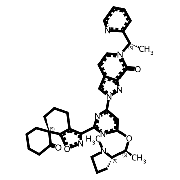 C[C@H](Oc1cc(-n2cc3ccn([C@@H](C)c4ccccn4)c(=O)c3n2)nc(-c2noc3c2CCC[C@@]32CCCCC2=O)n1)[C@@H]1CCCN1C